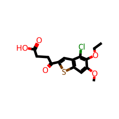 CCOc1c(OC)cc2sc(C(=O)CCC(=O)O)cc2c1Cl